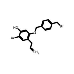 C=CCc1cc(C(C)=O)c(O)cc1OCc1ccc(CBr)cc1